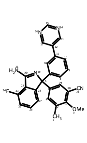 COc1c(C)cc(C2(c3cccc(-c4cncnc4)c3)N=C(N)c3c(F)cccc32)cc1C#N